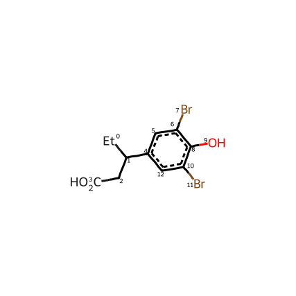 CCC(CC(=O)O)c1cc(Br)c(O)c(Br)c1